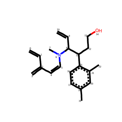 C=CC(=C)/C=C\N(C)C(C=C)C(CCO)c1ccc(C)cc1C